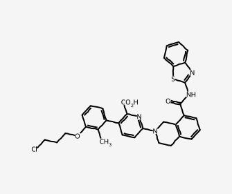 Cc1c(OCCCCl)cccc1-c1ccc(N2CCc3cccc(C(=O)Nc4nc5ccccc5s4)c3C2)nc1C(=O)O